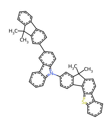 CC1(C)c2ccccc2-c2ccc(-c3ccc4c(c3)c3ccccc3n4-c3ccc4c(c3)C(C)(C)c3ccc5c(sc6ccccc65)c3-4)cc21